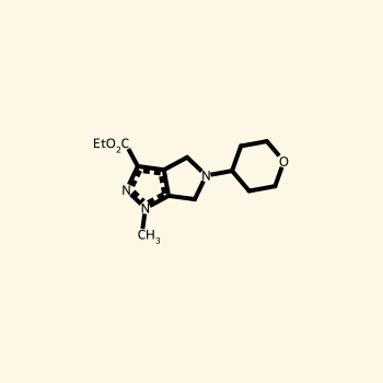 CCOC(=O)c1nn(C)c2c1CN(C1CCOCC1)C2